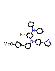 COc1ccc(-c2cccc(N(c3ccc(-c4cccnc4)cc3)c3cc(Br)cc(N(c4ccccc4)c4ccccc4)c3)c2)cc1